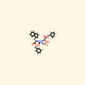 CN(CC(O)C(=O)OCc1ccccc1)C(=O)N[C@@H](Cc1cccc2ccccc12)C(=O)OCc1ccccc1